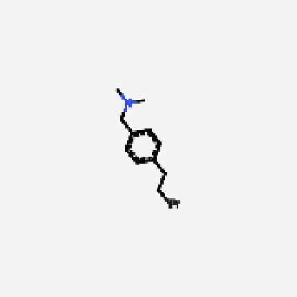 CC(C)CCc1ccc(CN(C)C)cc1